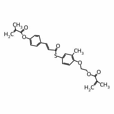 C=C(C)C(=O)OCCOc1ccc(SC(=O)/C=C/c2ccc(OC(=O)C(=C)C)cc2)cc1C